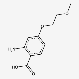 COCCOc1ccc(C(=O)O)c(N)c1